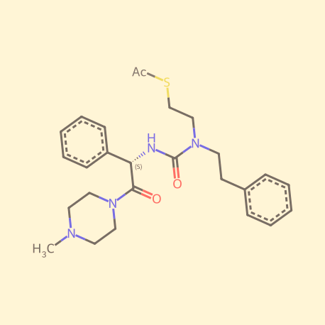 CC(=O)SCCN(CCc1ccccc1)C(=O)N[C@H](C(=O)N1CCN(C)CC1)c1ccccc1